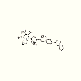 C=C(/C=C\C(Cl)=C(/C)Cc1ccc(C2COC3(CCCC3)C2)cc1)[C@@H]1O[C@H](CO)[C@@H](O)[C@H](O)[C@H]1O